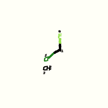 F[C]Cl.[CH]